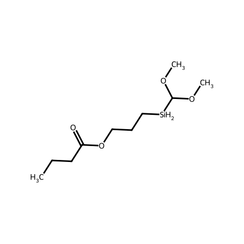 CCCC(=O)OCCC[SiH2]C(OC)OC